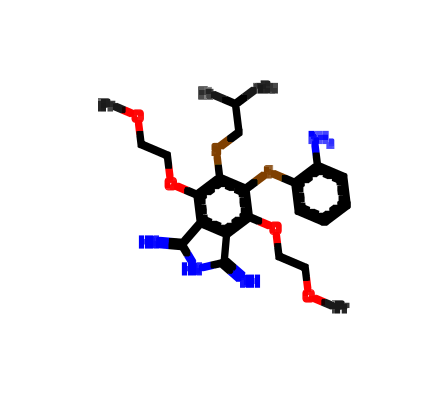 CCCCC(CC)CSc1c(OCCOC(C)C)c2c(c(OCCOC(C)C)c1Sc1ccccc1N)C(=N)NC2=N